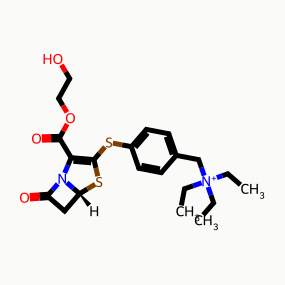 CC[N+](CC)(CC)Cc1ccc(SC2=C(C(=O)OCCO)N3C(=O)C[C@H]3S2)cc1